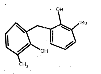 Cc1cccc(Cc2cccc(C(C)(C)C)c2O)c1O